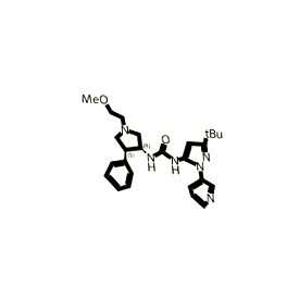 COCCN1C[C@H](NC(=O)Nc2cc(C(C)(C)C)nn2-c2cccnc2)[C@@H](c2ccccc2)C1